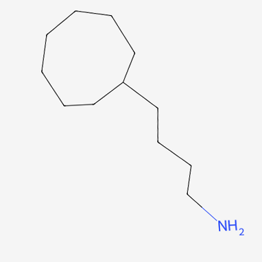 NCCCCC1CCCCCCC1